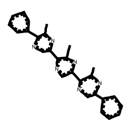 Cc1nc(-c2ncc(-c3ncc(-c4ccccc4)nc3C)nc2C)cnc1-c1ccccc1